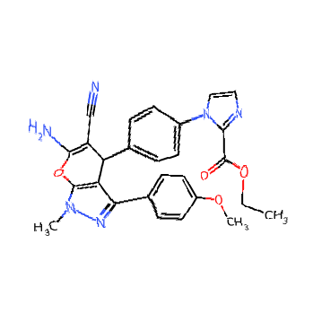 CCOC(=O)c1nccn1-c1ccc(C2C(C#N)=C(N)Oc3c2c(-c2ccc(OC)cc2)nn3C)cc1